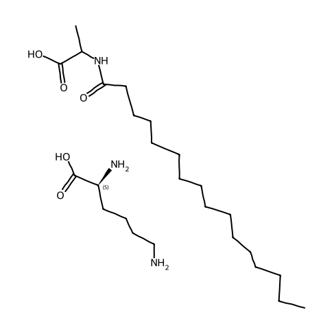 CCCCCCCCCCCCCCCC(=O)NC(C)C(=O)O.NCCCC[C@H](N)C(=O)O